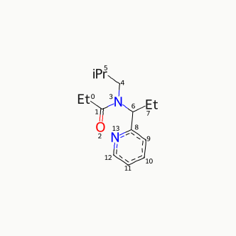 CCC(=O)N(CC(C)C)C(CC)c1ccccn1